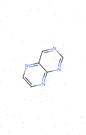 [c]1cnc2cncnc2n1